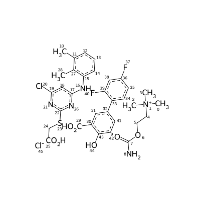 C[N+](C)(C)CCOC(N)=O.Cc1cccc(Nc2cc(Cl)nc(SCC(=O)O)n2)c1C.O=C(O)c1cc(-c2ccc(F)cc2F)ccc1O.[Cl-]